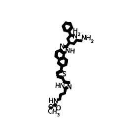 COC(=O)NCCCc1ncc(-c2ccc(-c3ccc4c(ccc5nc(C(CCCN)CC(N)c6ccccc6)[nH]c54)c3)s2)[nH]1